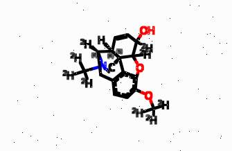 [2H]C([2H])([2H])Oc1ccc2c3c1OC1([2H])C([2H])(O)C=C[C@H]4[C@@]([2H])(C2)N(C([2H])([2H])[2H])CC[C@@]341